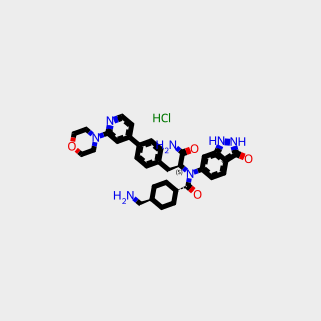 Cl.NC[C@H]1CC[C@H](C(=O)N(c2ccc3c(=O)[nH][nH]c3c2)[C@@H](Cc2ccc(-c3ccnc(N4CCOCC4)c3)cc2)C(N)=O)CC1